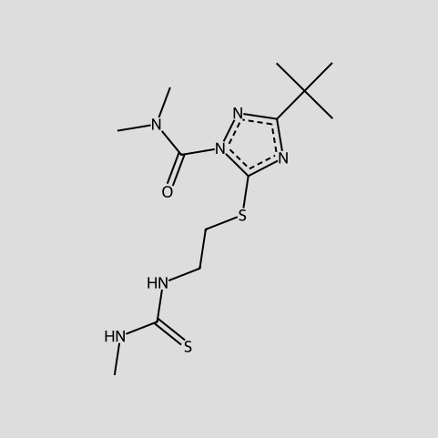 CNC(=S)NCCSc1nc(C(C)(C)C)nn1C(=O)N(C)C